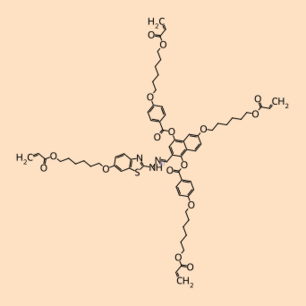 C=CC(=O)OCCCCCCOc1ccc(C(=O)Oc2cc(/C=N/Nc3nc4ccc(OCCCCCCOC(=O)C=C)cc4s3)c(OC(=O)c3ccc(OCCCCCCOC(=O)C=C)cc3)c3ccc(OCCCCCCOC(=O)C=C)cc23)cc1